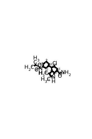 C=C(C)S(=O)(=O)Nc1cccc(-c2c(Cl)cc(C(N)=O)c3[nH]c(C)c(C)c23)c1